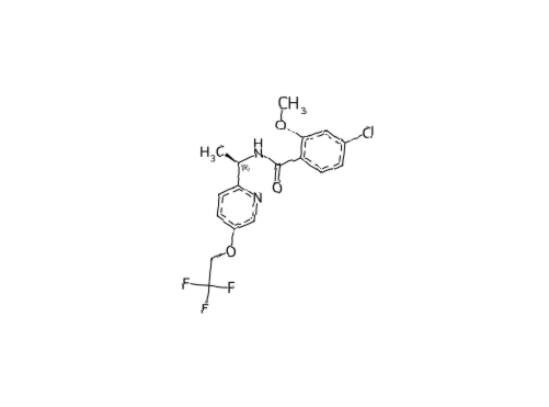 COc1cc(Cl)ccc1C(=O)N[C@H](C)c1ccc(OCC(F)(F)F)cn1